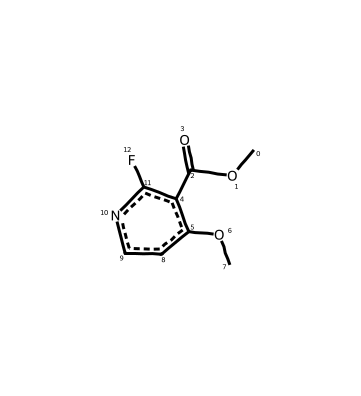 COC(=O)c1c(OC)ccnc1F